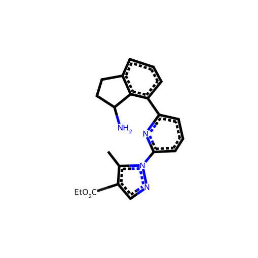 CCOC(=O)c1cnn(-c2cccc(-c3cccc4c3C(N)CC4)n2)c1C